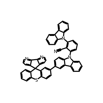 N#Cc1c(-n2c3ccccc3c3ccccc32)cccc1-n1c2ccccc2c2cc(-c3ccc4c(c3)C3(c5ccccc5S4)c4cccnc4-c4ncccc43)ccc21